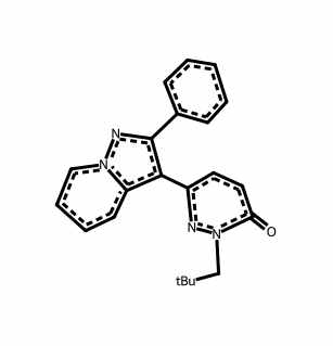 CC(C)(C)Cn1nc(-c2c(-c3ccccc3)nn3ccccc23)ccc1=O